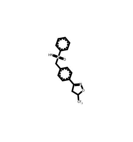 N=S(=O)(Cc1ccc(C2=NOC(C(F)(F)F)C2)cc1)c1ccccc1